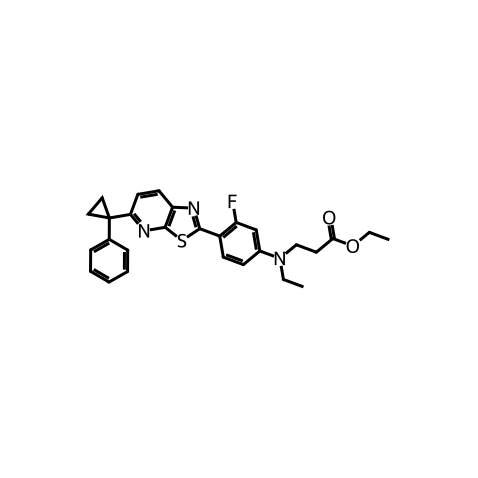 CCOC(=O)CCN(CC)c1ccc(-c2nc3ccc(C4(c5ccccc5)CC4)nc3s2)c(F)c1